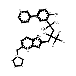 CC(C)(CC(O)(Cc1cc2nc(CN3CCCC3)ccc2[nH]1)C(F)(F)F)c1cc(-c2cccnc2)ccc1O